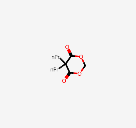 CCCC1(CCC)C(=O)OCOC1=O